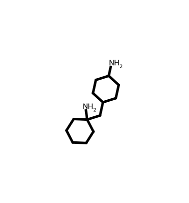 NC1CCC(CC2(N)CCCCC2)CC1